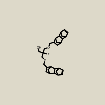 CCC(CO)(COCC1CC2CC1C1C3C=CC(C3)C21)COCC1CC2CC1C1C3C=CC(C3)C21